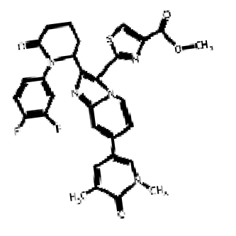 COC(=O)c1csc(-c2c(C3CCCC(=O)N3c3ccc(F)c(F)c3)nc3cc(-c4cc(C)c(=O)n(C)c4)ccn23)n1